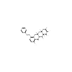 CC(=O)C1=C(C)CC2(C)CC3(C)Cc4c(CCc5ccccc5)ccc(C)c4C(=O)C3C(C)C2(C)C1=O